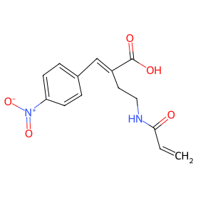 C=CC(=O)NCC/C(=C\c1ccc([N+](=O)[O-])cc1)C(=O)O